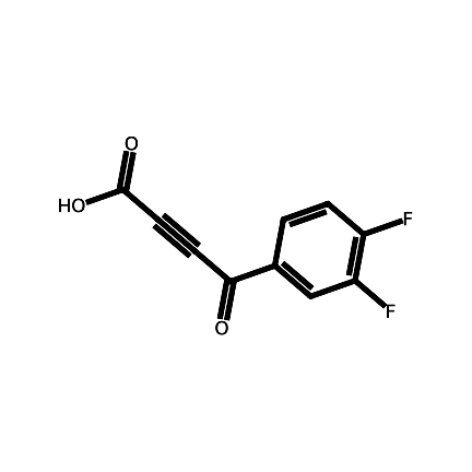 O=C(O)C#CC(=O)c1ccc(F)c(F)c1